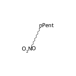 CCCCCC=CCCCCCCCCCCC(=O)[N+](=O)[O-]